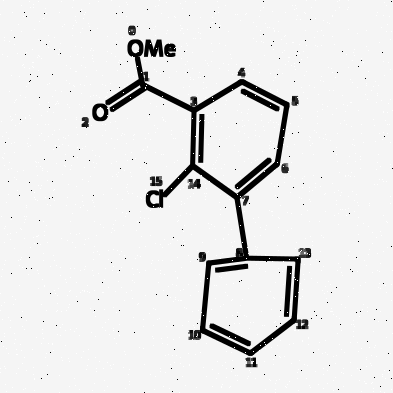 COC(=O)c1cccc(-c2ccccc2)c1Cl